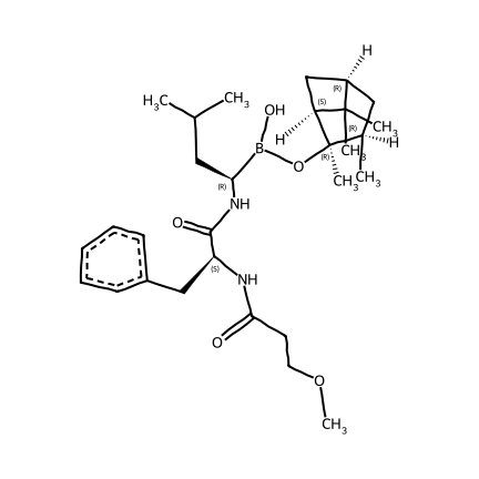 COCCC(=O)N[C@@H](Cc1ccccc1)C(=O)N[C@@H](CC(C)C)B(O)O[C@]1(C)[C@H](C)C[C@@H]2C[C@H]1C2(C)C